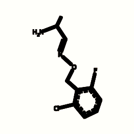 CC(N)C=NOCc1c(F)cccc1Cl